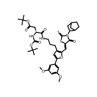 COc1cc(OC)cc(-c2cc(CCCNC(=O)[C@H](CC(=O)OC(C)(C)C)NC(=O)OC(C)(C)C)c(/C=C3\SC(=S)N(C4CC5CCC4C5)C3=O)o2)c1